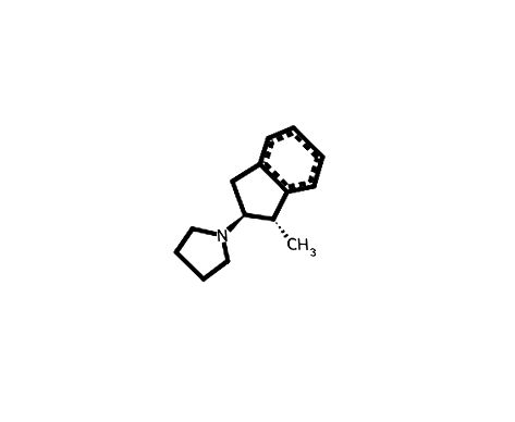 C[C@H]1c2ccccc2C[C@@H]1N1CCCC1